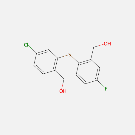 OCc1cc(F)ccc1Sc1cc(Cl)ccc1CO